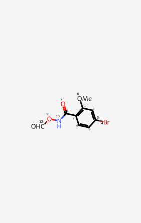 COc1cc(Br)ccc1C(=O)NOC=O